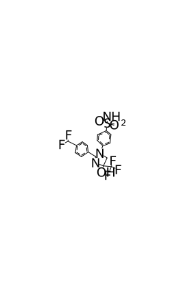 NS(=O)(=O)c1ccc(N2CC(O)(C(F)(F)F)N=C2c2ccc(C(F)F)cc2)cc1